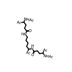 CC(=O)NC(CCC(=O)NCCCCC(NC(=O)CCC(NC(C)=O)C(C)=O)C(C)=O)C(C)=O